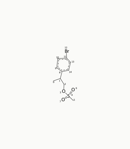 CC(COS(C)(=O)=O)c1ccc(Br)cc1